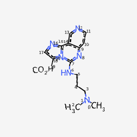 CN(C)CCCNc1nc2ccncc2c2ncc(C(=O)O)n12